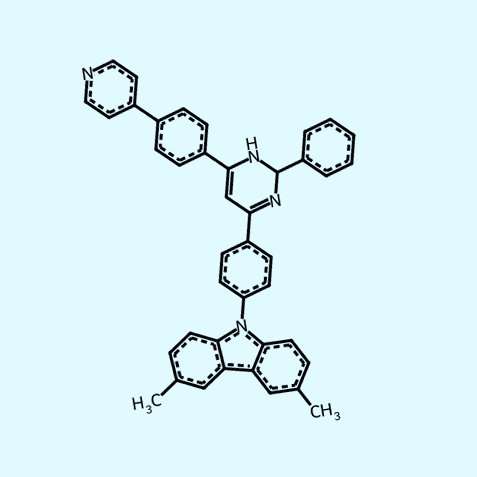 Cc1ccc2c(c1)c1cc(C)ccc1n2-c1ccc(C2=NC(c3ccccc3)NC(c3ccc(-c4ccncc4)cc3)=C2)cc1